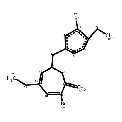 C=C1CC(Cc2ccc(CC)c(Br)c2)C=C(CC)C=C1Br